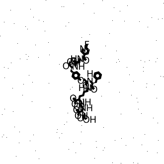 O=C(O)C[C@H](NC(=O)NC(CCCCNC(=O)[C@H](Cc1ccccc1)NC(=O)COc1ccc(C[C@H](NC(=O)CNC(=O)c2ccc(F)nc2)C(=O)O)cc1)C(=O)O)C(=O)O